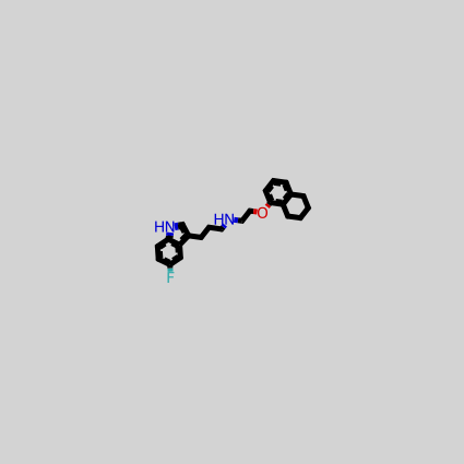 Fc1ccc2[nH]cc(CCCNCCOc3cccc4c3CCCC4)c2c1